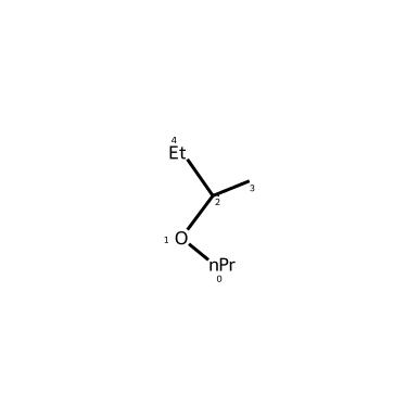 CCCO[C](C)CC